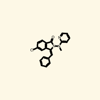 CN(c1ccccn1)N1C(=O)c2ccc(Cl)cc2C1=Cc1ccccc1